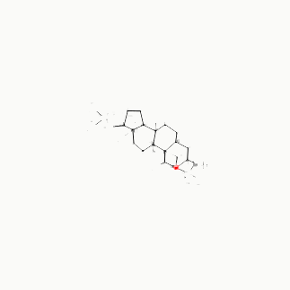 CC1CC(O)CC2CC[C@@H]3[C@@H](CC[C@]4(C)C(O[Si](C)(C)C)CC[C@@H]34)[C@@]12CO[Si](C)(C)C